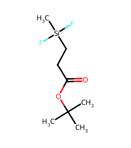 CC(C)(C)OC(=O)CC[Si](C)(F)F